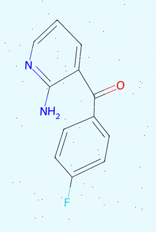 Nc1ncccc1C(=O)c1ccc(F)cc1